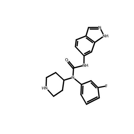 O=C(Nc1ccc2cn[nH]c2c1)N(c1cccc(F)c1)C1CCNCC1